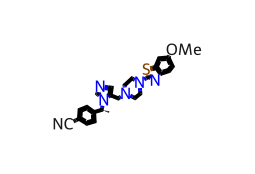 COc1ccc2nc(N3CCN(Cc4cncn4[C@H](C)c4ccc(C#N)cc4)CC3)sc2c1